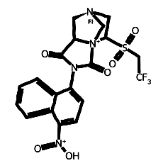 O=C1C2C[N@@]3CC(S(=O)(=O)CC(F)(F)F)[N+]2(C3)C(=O)N1c1ccc([N+](=O)O)c2ccccc12